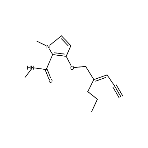 C#C/C=C(\CCC)COc1ccn(C)c1C(=O)NC